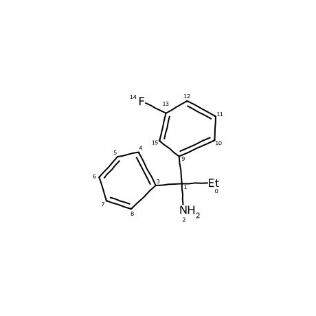 [CH2]CC(N)(c1ccccc1)c1cccc(F)c1